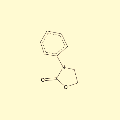 O=C1O[CH]CN1c1ccccc1